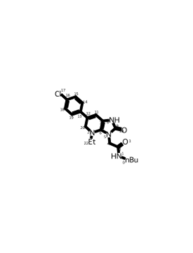 CCCCNC(=O)Cn1c2c([nH]c1=O)C=C(c1ccc(Cl)cc1)CN2CC